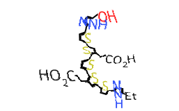 CCc1cnc(-c2ccc(-c3cc(CCC(=O)O)c(-c4ccc(-c5sc(-c6ccc(-c7ncc(CO)[nH]7)s6)cc5CCC(=O)O)s4)s3)s2)[nH]1